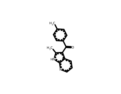 Cc1ccc(C(=O)c2c(C)[nH]c3ncccc23)cc1